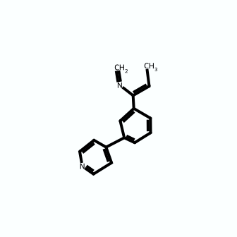 C=N/C(=C\C)c1cccc(-c2ccncc2)c1